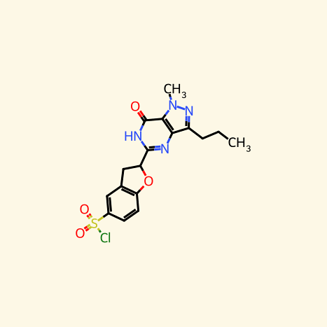 CCCc1nn(C)c2c(=O)[nH]c(C3Cc4cc(S(=O)(=O)Cl)ccc4O3)nc12